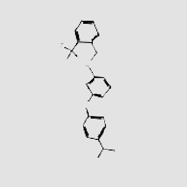 CC(C)c1ccc(Oc2cccc(OCc3ccccc3C(F)(F)F)c2)cc1